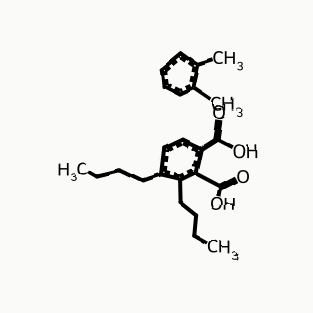 CCCCc1ccc(C(=O)O)c(C(=O)O)c1CCCC.Cc1ccccc1C